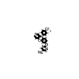 COc1ccncc1N(c1ccc(C(F)(F)F)cc1)C1CCC(Oc2ncc(C#N)cn2)CC1